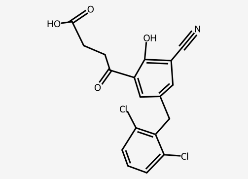 N#Cc1cc(Cc2c(Cl)cccc2Cl)cc(C(=O)CCC(=O)O)c1O